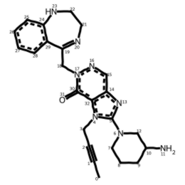 CC#CCn1c(N2CCCC(N)C2)nc2cnn(CC3=NCCNc4ccccc43)c(=O)c21